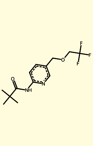 CC(C)(C)C(=O)Nc1ccc(COCC(F)(F)F)cn1